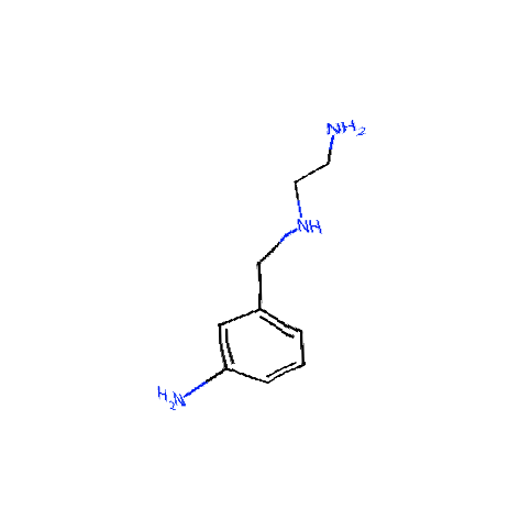 NCCNCc1cccc(N)c1